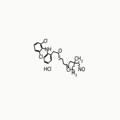 CN(CCSC(=O)Cc1ccccc1Nc1c(Cl)cccc1Cl)CC(C)(C)SN=O.Cl